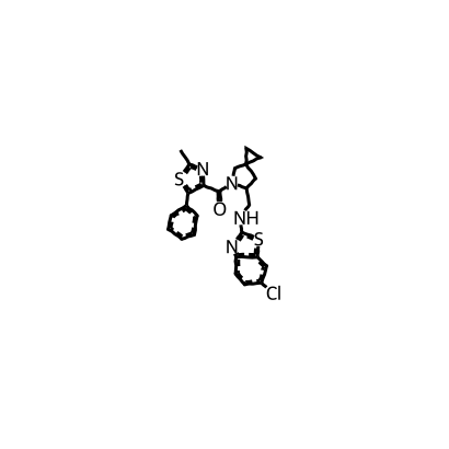 Cc1nc(C(=O)N2CC3(CC3)CC2CNc2nc3ccc(Cl)cc3s2)c(-c2ccccc2)s1